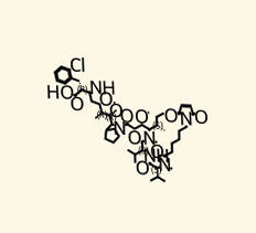 CC[C@H](C)C(C(CC(=O)N1C2CCC(C2)C1[C@H](OC)[C@@H](C)C(=O)CC(=N)[C@@H](Cc1ccccc1Cl)C(=O)O)OC)N(C)C(=O)[C@@H](NC(=O)[C@H](C(C)C)N(C)C(=O)CCCCCN1C(=O)C=CC1=O)C(C)C